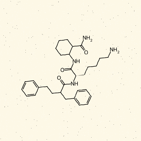 NCCCCC[C@H](NC(=O)C(CCc1ccccc1)Cc1ccccc1)C(=O)NC1CCCCC1C(N)=O